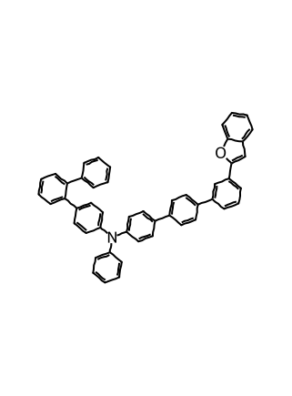 c1ccc(-c2ccccc2-c2ccc(N(c3ccccc3)c3ccc(-c4ccc(-c5cccc(-c6cc7ccccc7o6)c5)cc4)cc3)cc2)cc1